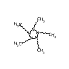 CCCCCCCCN1CCN(CCCCCCCC)CCN(CCCCCCCC)CCN(CCCCCCCC)CCN(CCCCCCCC)CC1